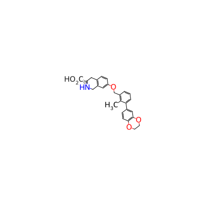 Cc1c(COc2ccc3c(c2)CN[C@H](C(=O)O)C3)cccc1-c1ccc2c(c1)OCCO2